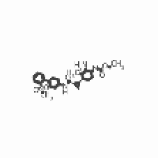 CCOC(=O)N=C1CC=C([C@H]2C[C@H]2C(=O)Nc2ccc(-c3ccccc3S(C)(=O)=O)cc2)C(C)=C1N